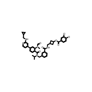 CC(C)N(Cc1cccc(C(=O)NCC2CC(OC(=O)c3ccc(Cl)c(Cl)c3)C2)c1)C(=O)c1ccc(-c2ccnc(NCC3CC3)c2)cc1N(C)C=O